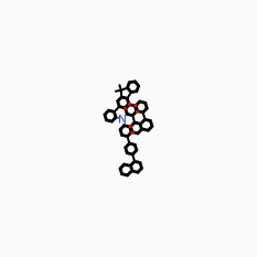 CC1(C)c2ccccc2-c2ccc(-c3ccccc3N(c3ccc(-c4ccc(-c5cccc6ccccc56)cc4)cc3)c3ccccc3-c3cccc4cccc(-c5ccccc5)c34)cc21